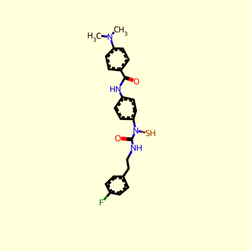 CN(C)c1ccc(C(=O)Nc2ccc(N(S)C(=O)NCCc3ccc(F)cc3)cc2)cc1